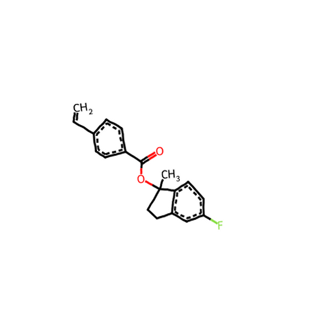 C=Cc1ccc(C(=O)OC2(C)CCc3cc(F)ccc32)cc1